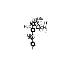 Cc1nc(C)c([C@H](OC(C)(C)C)C(=O)O)c(N2CCC(C)(C)CC2)c1-c1ccc(CNS(=O)(=O)CCc2ccc(F)cc2)cc1